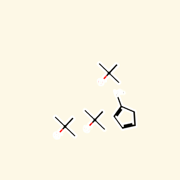 CC(C)(C)[O-].CC(C)(C)[O-].CC(C)(C)[O-].[V+3][C]1=CC=CC1